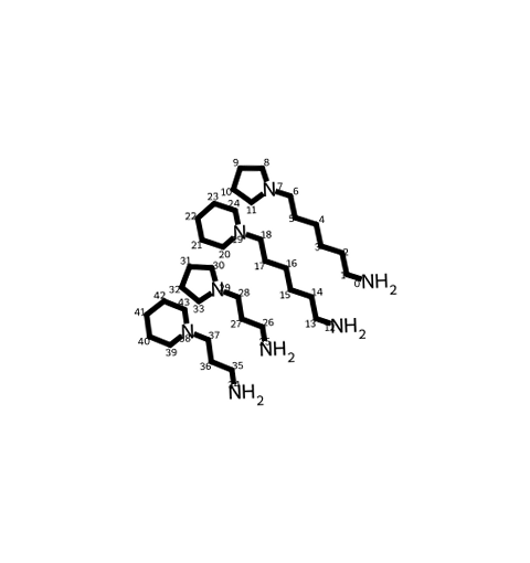 NCCCCCCN1CCCC1.NCCCCCCN1CCCCC1.NCCCN1CCCC1.NCCCN1CCCCC1